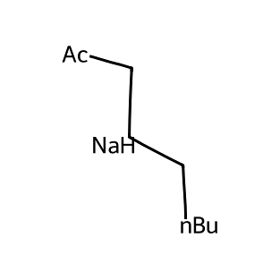 [CH2]C(=O)CCCCCCC.[NaH]